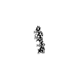 CC(NC(=O)c1ncnc(Nc2ccncc2)c1Cl)c1ncc(C(=O)Nc2cc(C(C)(C)C)c(Cl)nn2)s1